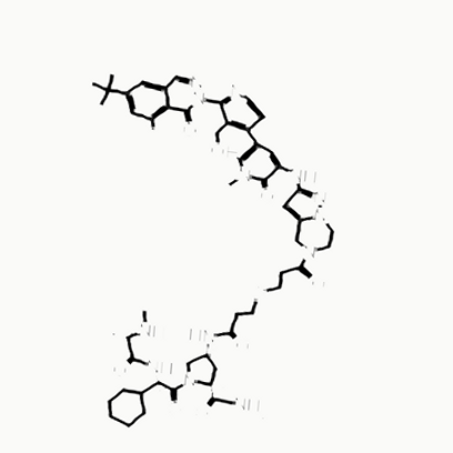 CN[C@@H](C)C(=O)N[C@H](C(=O)N1C[C@@H](NC(=O)CCOCCC(=O)N2CCn3nc(Nc4cc(-c5ccnc(-n6ncc7cc(C(C)(C)C)cc(F)c7c6=O)c5CO)cn(C)c4=O)cc3C2)C[C@H]1C(N)=O)C1CCCCC1